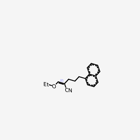 CCO/C=C(\C#N)CCCc1cccc2ccccc12